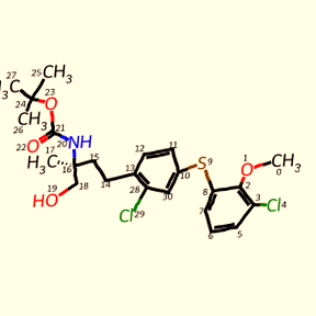 COc1c(Cl)cccc1Sc1ccc(CC[C@@](C)(CO)NC(=O)OC(C)(C)C)c(Cl)c1